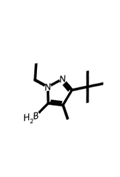 Bc1c(C)c(C(C)(C)C)nn1CC